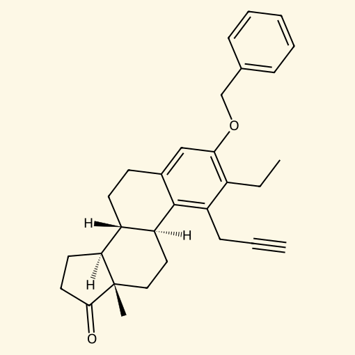 C#CCc1c(CC)c(OCc2ccccc2)cc2c1[C@H]1CC[C@]3(C)C(=O)CC[C@H]3[C@@H]1CC2